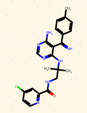 Cc1ccc(C(=N)c2c(N)ncnc2NC(C)(C)CNC(=O)c2cc(Cl)ccn2)cc1